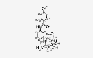 COc1cnc(C(=O)Nc2ccc(F)c([C@]34COC[C@H]3S(O)(O)C(C)(C)C(N)=N4)c2)c(C)c1